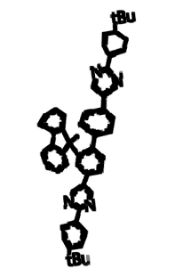 CC(C)(C)c1ccc(-c2ncc(-c3ccc(-c4ccc(-c5cnc(C6=CCC(C(C)(C)C)C=C6)nc5)cc4)c(C4(C)c5ccccc5-c5ccccc54)c3)cn2)cc1